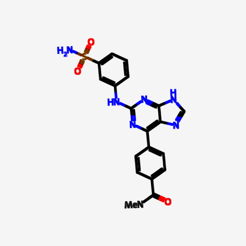 CNC(=O)c1ccc(-c2nc(Nc3cccc(S(N)(=O)=O)c3)nc3[nH]cnc23)cc1